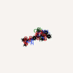 CC(C)(C)OC(=O)N[C@H](COC(=O)Nc1ccc(C(OC(=O)OCC(Cl)(Cl)Cl)C(=O)NC2S[C@H]3CC(=O)N3C(C(=O)OC(c3ccccc3)c3ccccc3)=C2COC(N)=O)cc1)C(=O)OC(C)(C)C